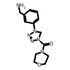 NCc1cccc(N2CN(C(=O)N3CCOCC3)N=N2)c1